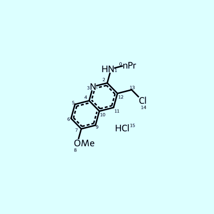 CCCNc1nc2ccc(OC)cc2cc1CCl.Cl